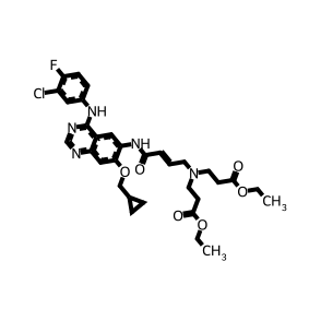 CCOC(=O)CCN(C/C=C/C(=O)Nc1cc2c(Nc3ccc(F)c(Cl)c3)ncnc2cc1OCC1CC1)CCC(=O)OCC